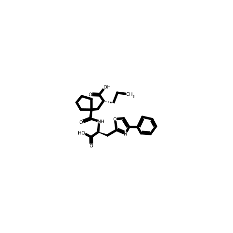 CCC[C@H](CC1(C(=O)N[C@@H](Cc2nc(-c3ccccc3)co2)C(=O)O)CCCC1)C(=O)O